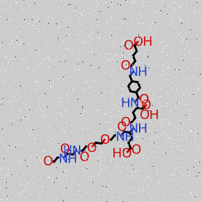 O=CCNC(=O)CNC(=O)COCCOCCNC(=O)C(CCC(=O)O)NC(=O)CCC(NC(=O)C1CCC(CNC(=O)CCCC(=O)O)CC1)C(=O)O